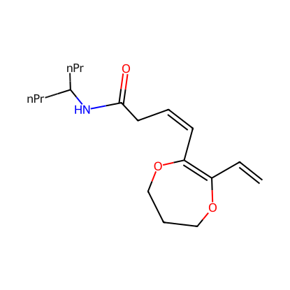 C=CC1=C(/C=C\CC(=O)NC(CCC)CCC)OCCCO1